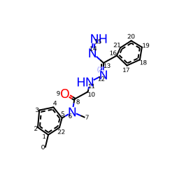 Cc1cccc(N(C)C(=O)CN/N=C(\N=N)c2ccccc2)c1